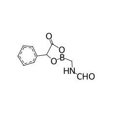 O=CNCB1OC(=O)C(c2ccccc2)O1